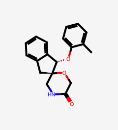 Cc1ccccc1O[C@H]1c2ccccc2C[C@@]12CNC(=O)CO2